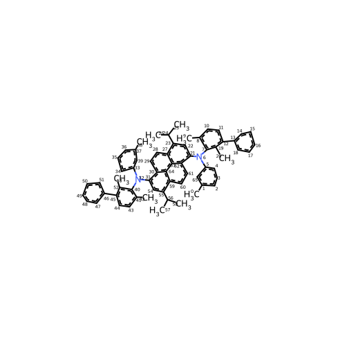 Cc1cccc(N(c2c(C)ccc(-c3ccccc3)c2C)c2cc(C(C)C)c3ccc4c(N(c5cccc(C)c5)c5c(C)ccc(-c6ccccc6)c5C)cc(C(C)C)c5ccc2c3c54)c1